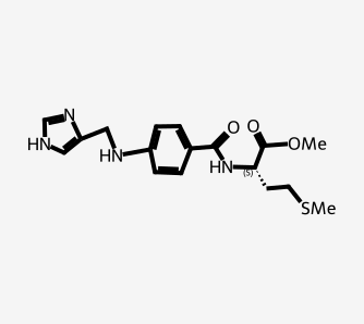 COC(=O)[C@H](CCSC)NC(=O)c1ccc(NCc2c[nH]cn2)cc1